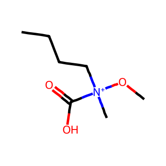 CCCC[N+](C)(OC)C(=O)O